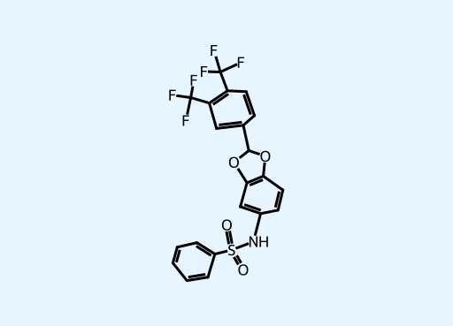 O=S(=O)(Nc1ccc2c(c1)OC(c1ccc(C(F)(F)F)c(C(F)(F)F)c1)O2)c1ccccc1